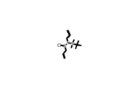 C=CCB(Cl)N(CC=C)[Si](C)(C)C(C)(C)C